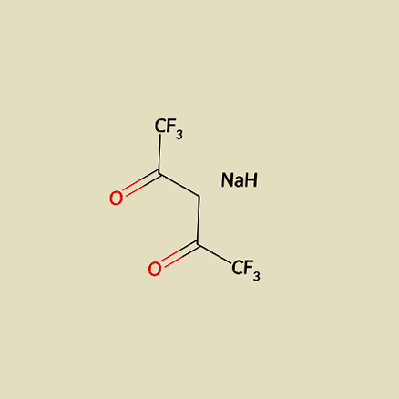 O=C(CC(=O)C(F)(F)F)C(F)(F)F.[NaH]